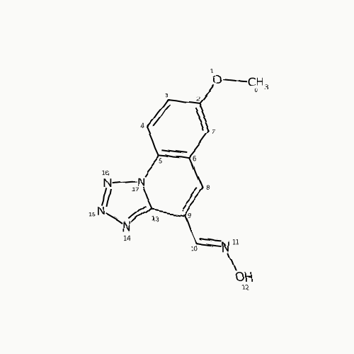 COc1ccc2c(c1)cc(/C=N/O)c1nnnn12